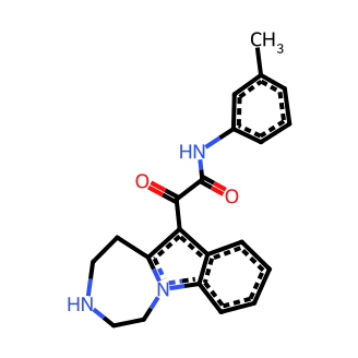 Cc1cccc(NC(=O)C(=O)c2c3n(c4ccccc24)CCNCC3)c1